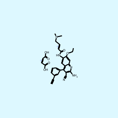 C#Cc1cccc(-c2c(C#N)c(N)nc3cc(OCC)c(NC(=O)/C=C/CN(C)C)cc23)c1.O=C(O)/C=C\C(=O)O